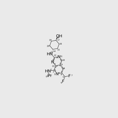 CC(C)Nc1nc(C(F)F)cc2cnc(N[C@H]3CC[C@H](O)CC3)nc12